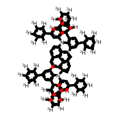 [2H]c1c([2H])c([2H])c(-c2cc(-c3c([2H])c([2H])c([2H])c([2H])c3[2H])cc(N(c3c(F)cc(-c4c([2H])c([2H])c([2H])c([2H])c4[2H])cc3-c3c([2H])c([2H])c([2H])c([2H])c3[2H])c3ccc4ccc5c(N(c6cc(-c7c([2H])c([2H])c([2H])c([2H])c7[2H])cc(-c7c([2H])c([2H])c([2H])c([2H])c7[2H])c6)c6c(F)cc(-c7c([2H])c([2H])c([2H])c([2H])c7[2H])cc6-c6c([2H])c([2H])c([2H])c([2H])c6[2H])ccc6ccc3c4c65)c2)c([2H])c1[2H]